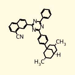 C[C@@H]1C[C@@H]2C[C@H](C)CC(c3ccc(-c4nc(-c5ccccc5)nc(-c5ccc6cccc(C#N)c6c5)n4)cc3)(C1)C2